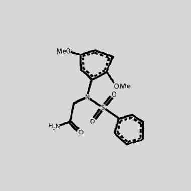 COc1ccc(OC)c(N(CC(N)=O)S(=O)(=O)c2ccccc2)c1